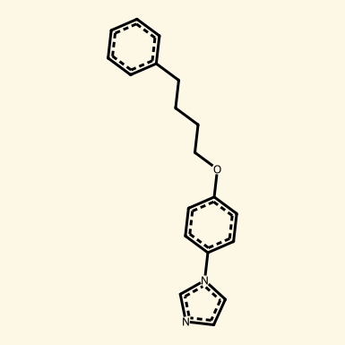 c1ccc(CCCCOc2ccc(-n3ccnc3)cc2)cc1